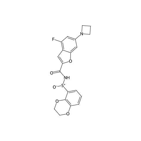 O=C(N[S+]([O-])c1cccc2c1OCCO2)c1cc2c(F)cc(N3CCC3)cc2o1